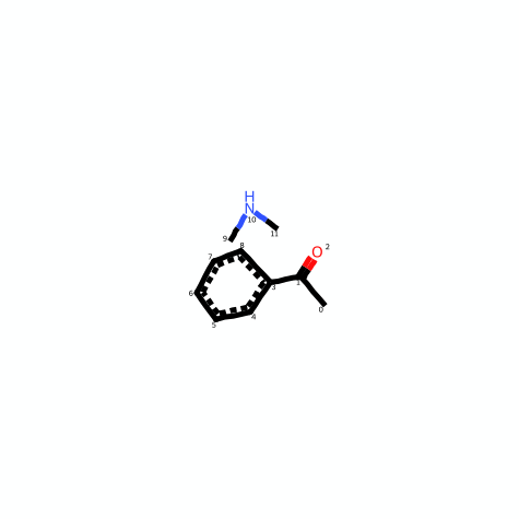 CC(=O)c1ccccc1.CNC